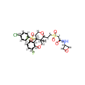 O=C(CS(=O)(=O)CC[C@@H]1OCC[C@@]2(S(=O)(=O)c3ccc(Cl)cc3)c3c(F)ccc(F)c3OC[C@@H]12)NC1COC1